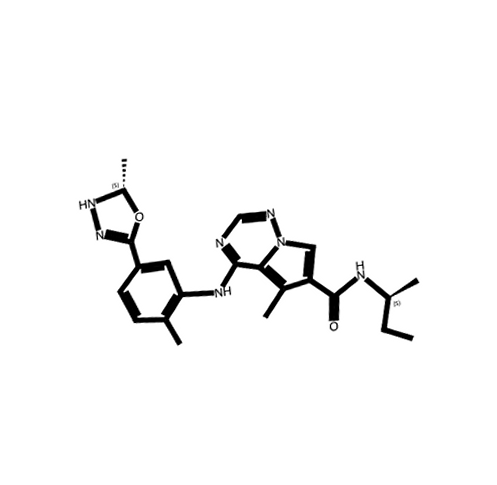 CC[C@H](C)NC(=O)c1cn2ncnc(Nc3cc(C4=NN[C@H](C)O4)ccc3C)c2c1C